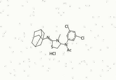 CC(=O)N(c1cc(Cl)cc(Cl)c1)C1CSC(=NC23CC4CC(CC(C4)C2)C3)N1C.Cl